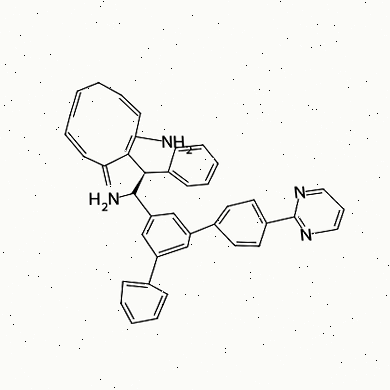 C=C1/C=C\C=C/C/C=C\C(N)=C/1[C@@H](c1ccccc1)C(N)c1cc(-c2ccccc2)cc(-c2ccc(-c3ncccn3)cc2)c1